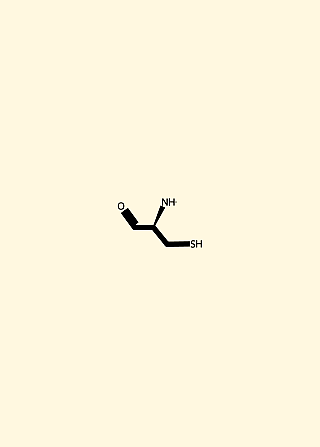 [NH][C@H](C=O)CS